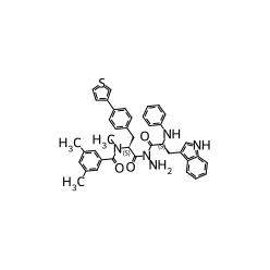 Cc1cc(C)cc(C(=O)N(C)[C@@H](Cc2ccc(-c3ccsc3)cc2)C(=O)N(N)C(=O)[C@H](Cc2c[nH]c3ccccc23)Nc2ccccc2)c1